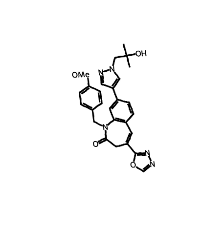 COc1ccc(CN2C(=O)CC(c3nnco3)=Cc3ccc(-c4cnn(CC(C)(C)O)c4)cc32)cc1